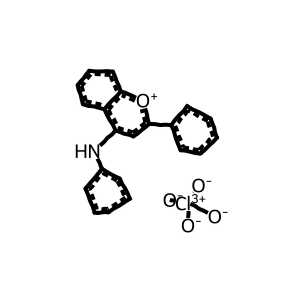 [O-][Cl+3]([O-])([O-])[O-].c1ccc(Nc2cc(-c3ccccc3)[o+]c3ccccc23)cc1